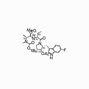 CO[C@H](C)[C@H](NC(=O)[C@H](C)N(C)C(=O)OC(C)(C)C)C(=O)N1CC[C@H](OC(C)=O)[C@H]1Cc1c[nH]c2cc(F)ccc12